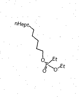 CCCCCCCCCCCCOP(=O)(CC)OCC